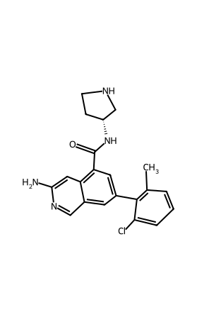 Cc1cccc(Cl)c1-c1cc(C(=O)N[C@@H]2CCNC2)c2cc(N)ncc2c1